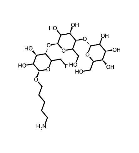 NCCCCCO[C@@H]1OC(CF)[C@@H](O[C@@H]2OC(CO)[C@H](O[C@H]3OC(CO)[C@H](O)[C@H](O)C3O)[C@H](O)C2O)[C@H](O)C1O